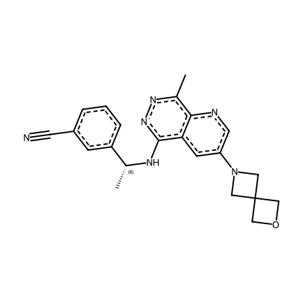 Cc1nnc(N[C@H](C)c2cccc(C#N)c2)c2cc(N3CC4(COC4)C3)cnc12